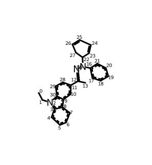 CCn1c2ccccc2c2cc(C(C)=NN(c3ccccc3)C3C=CC=CC3)ccc21